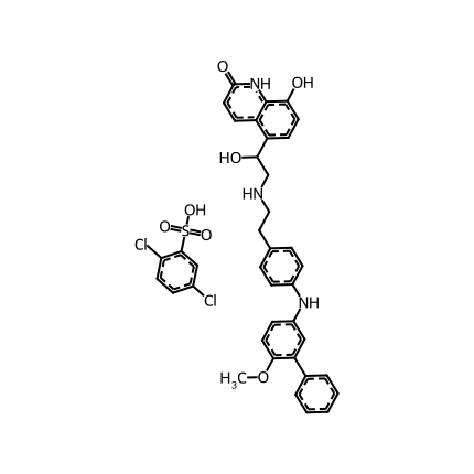 COc1ccc(Nc2ccc(CCNCC(O)c3ccc(O)c4[nH]c(=O)ccc34)cc2)cc1-c1ccccc1.O=S(=O)(O)c1cc(Cl)ccc1Cl